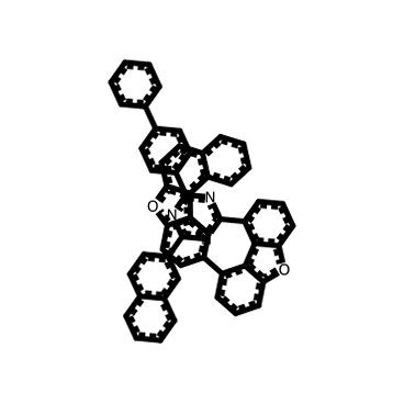 c1ccc(-c2ccc(-c3nc(-c4ccc5ccccc5c4)nc(-c4cccc5oc6cccc(-c7ccc8oc9ccc%10ccccc%10c9c8c7)c6c45)n3)cc2)cc1